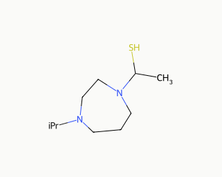 CC(C)N1CCCN(C(C)S)CC1